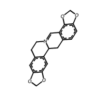 C1=[N+]2CCc3cc4c(cc3C2Cc2ccc3c(c21)OCO3)OCO4